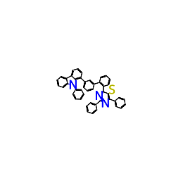 c1ccc(-c2nc(-c3ccccc3)c3sc4cccc(-c5cccc(-c6cccc7c8ccccc8n(-c8ccccc8)c67)c5)c4c3n2)cc1